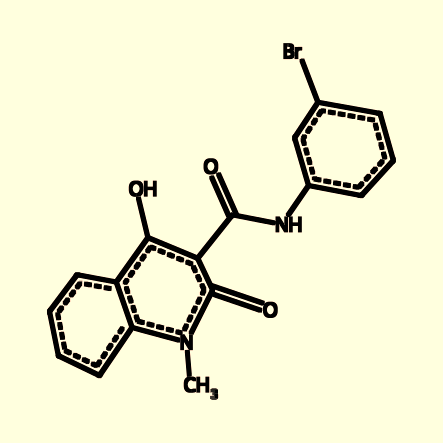 Cn1c(=O)c(C(=O)Nc2cccc(Br)c2)c(O)c2ccccc21